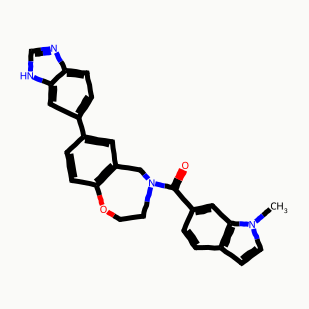 Cn1ccc2ccc(C(=O)N3CCOc4ccc(-c5ccc6nc[nH]c6c5)cc4C3)cc21